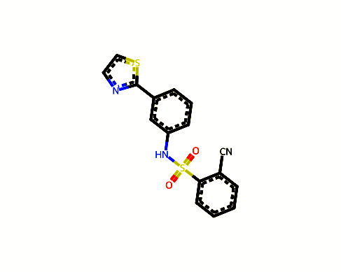 N#Cc1ccccc1S(=O)(=O)Nc1cccc(-c2nccs2)c1